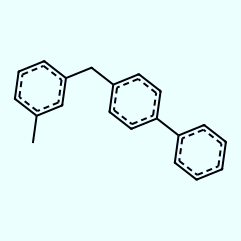 Cc1cccc(Cc2ccc(-c3ccccc3)cc2)c1